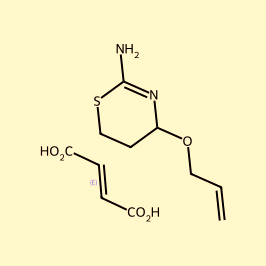 C=CCOC1CCSC(N)=N1.O=C(O)/C=C/C(=O)O